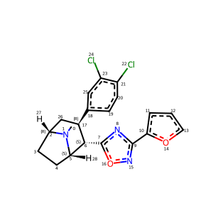 CN1[C@@H]2CC[C@H]1[C@@H](c1nc(-c3ccco3)no1)[C@H](c1ccc(Cl)c(Cl)c1)C2